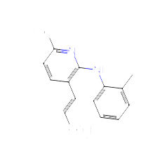 Cc1ccccc1Nc1nc(C(F)(F)F)ccc1/C=C/C(=O)O